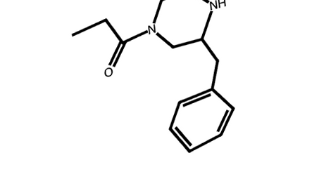 CCC(=O)N1CCNC(Cc2ccccc2)C1